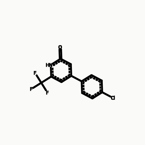 O=c1cc(-c2ccc(Cl)cc2)cc(C(F)(F)F)[nH]1